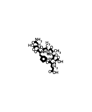 C[C@H](NC(=O)[C@H](C)NC(=O)[C@H](CC(=O)O)NC(=O)[C@@H](N)CCC(=O)O)C(=O)N[C@@H](Cc1ccccc1)C(=O)N[C@@H](CC(N)=O)C(=O)O